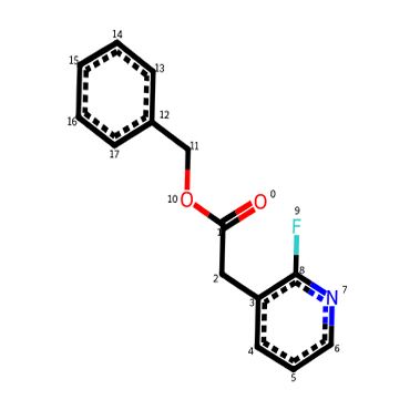 O=C(Cc1cccnc1F)OCc1ccccc1